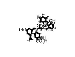 CC(C)(C)c1cc(CN(C(=O)CN(Cc2cccc(O)c2)S(=O)(=O)c2c(F)c(F)c(F)c(F)c2F)c2ccc(C(=O)O)c(O)c2)cc(C2CC2)c1